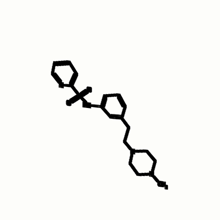 CN1CCN(CCc2cccc(NS(=O)(=O)c3ccccn3)c2)CC1